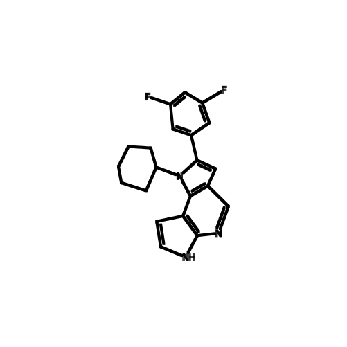 Fc1cc(F)cc(-c2cc3cnc4[nH]ccc4c3n2C2CCCCC2)c1